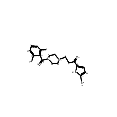 O=C(CCN1CCN(C(=O)c2c(F)cccc2F)CC1)c1ccc(Br)s1